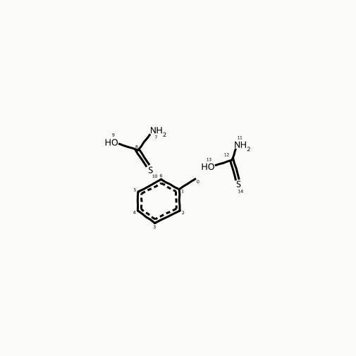 Cc1ccccc1.NC(O)=S.NC(O)=S